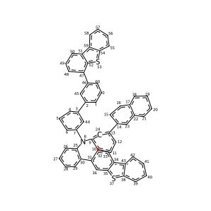 c1cc(-c2cccc(N(c3cccc(-c4ccc5ccccc5c4)c3)c3ccccc3-c3ccc4c(c3)sc3ccccc34)c2)cc(-c2cccc3c2sc2ccccc23)c1